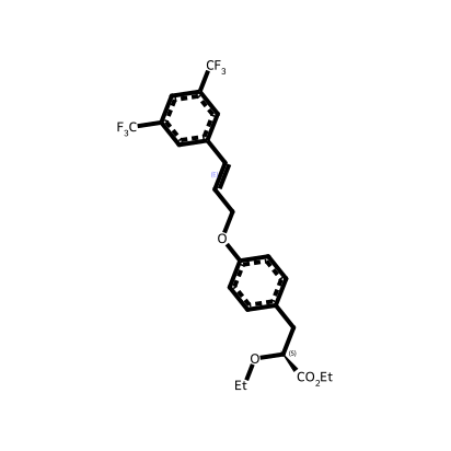 CCOC(=O)[C@H](Cc1ccc(OC/C=C/c2cc(C(F)(F)F)cc(C(F)(F)F)c2)cc1)OCC